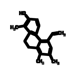 C=Cc1cc(C)c(C)c2c1-c1ccc(O)c(C)c1CC2